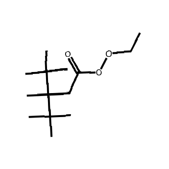 CCOOC(=O)CC(C)(C(C)(C)C)C(C)(C)C